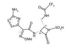 CO/N=C(\C(=O)N[C@H]1C(=O)N(S(=O)(=O)O)[C@H]1CNC(=O)C(F)(F)F)c1csc(N)n1